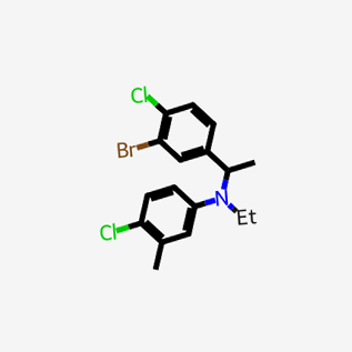 CCN(c1ccc(Cl)c(C)c1)C(C)c1ccc(Cl)c(Br)c1